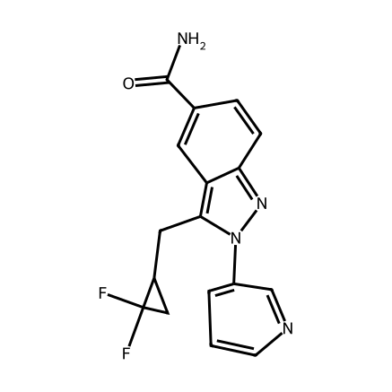 NC(=O)c1ccc2nn(-c3cccnc3)c(CC3CC3(F)F)c2c1